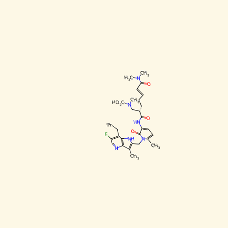 Cc1c(Cn2c(C)ccc(NC(=O)[C@@H](CC/C=C/C(=O)N(C)C)CN(C)C(=O)O)c2=O)[nH]c2c(CC(C)C)c(F)cnc12